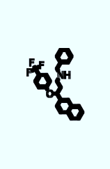 FC(F)(F)c1ccc(OC(CCNCc2ccccc2)c2ccc3ccccc3c2)cc1